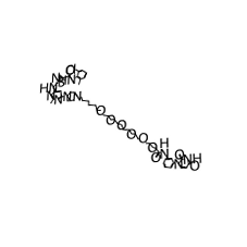 Cc1nc(Nc2ncc(C(=O)Nc3c(C)cccc3Cl)s2)cc(N2CCN(CCCCCCOCCOCCOCCOCCOCCOCC(=O)Nc3cccc(-n4ccc(=O)[nH]c4=O)c3)CC2)n1